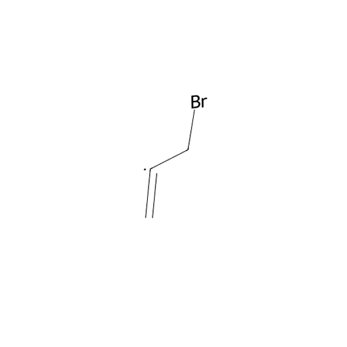 C=[C]CBr